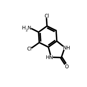 Nc1c(Cl)cc2[nH]c(=O)[nH]c2c1Cl